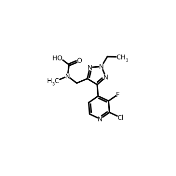 CCn1nc(CN(C)C(=O)O)c(-c2ccnc(Cl)c2F)n1